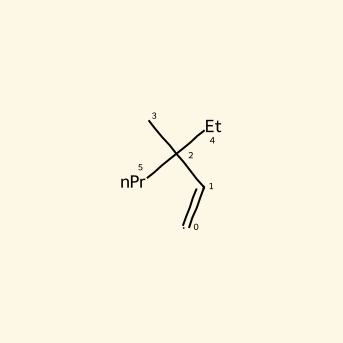 [CH]=CC(C)(CC)CCC